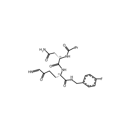 CC(C)C(=O)N[C@@H](CC(N)=O)C(=O)N[C@@H](CCC(=O)C=N)C(=O)NCc1ccc(F)cc1